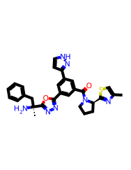 Cc1csc([C@H]2CCCN2C(=O)c2cc(-c3cc[nH]n3)cc(-c3nnc([C@@](C)(N)Cc4ccccc4)o3)c2)n1